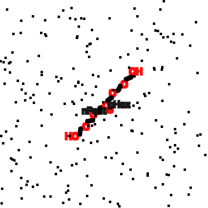 CCCCCCOCCCCC.OCCOCCOCCOCCOCCOCCO